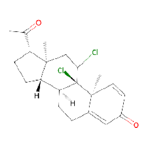 CC(=O)[C@H]1CC[C@H]2[C@@H]3CCC4=CC(=O)C=C[C@]4(C)[C@@]3(Cl)C(Cl)C[C@]12C